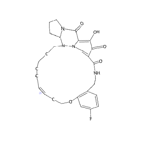 O=C1NCc2ccc(F)cc2OCC/C=C\CCCCCN2C3CCCN3C(=O)c3c(O)c(=O)c1cn32